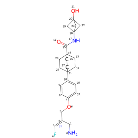 NC/C(=C\F)COc1ccc(C23CCC(C(=O)NC45CC(O)(C4)C5)(CC2)CC3)cc1